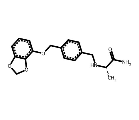 C[C@H](NCc1ccc(COc2cccc3c2OCO3)cc1)C(N)=O